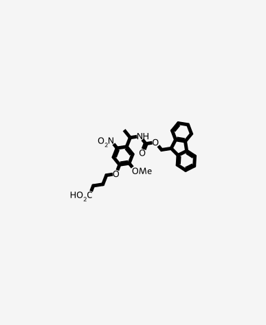 COc1cc(C(C)NC(=O)OCC2C3=C(CCC=C3)c3ccccc32)c([N+](=O)[O-])cc1OCCCC(=O)O